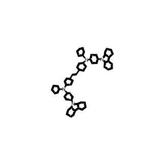 C(=C\c1ccc(N(c2ccccc2)c2ccc(-n3c4ccccc4c4ccccc43)cc2)cc1)/c1ccc(N(c2ccccc2)c2ccc(-n3c4ccccc4c4ccccc43)cc2)cc1